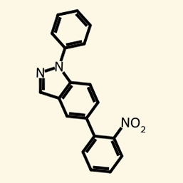 O=[N+]([O-])c1ccccc1-c1ccc2c(cnn2-c2ccccc2)c1